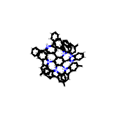 Cc1ccc2c(c1)c1ccccc1n2-c1c(-c2cc(-c3ccccc3)nc(-c3ccccc3)c2)c(-n2c3ccccc3c3cc(C)ccc32)c(-n2c3ccccc3c3cc(C)ccc32)c(-n2c3ccccc3c3cc(C)ccc32)c1-c1nc2ccccc2n1-c1ccccc1